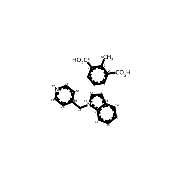 Cc1c(C(=O)O)cccc1C(=O)O.c1ccc2c(c1)ccn2Cc1ccncc1